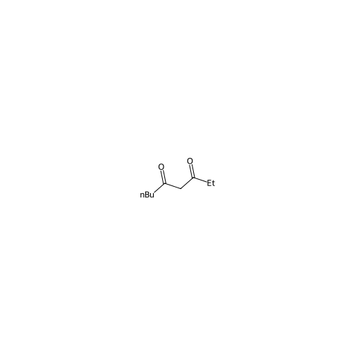 CCCCC(=O)CC(=O)CC